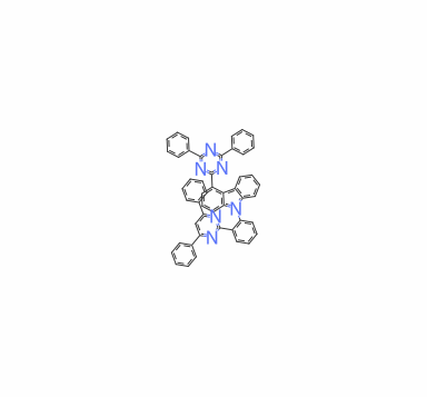 c1ccc(-c2cc(-c3ccccc3)nc(-c3ccccc3-n3c4ccccc4c4c(-c5nc(-c6ccccc6)nc(-c6ccccc6)n5)cccc43)n2)cc1